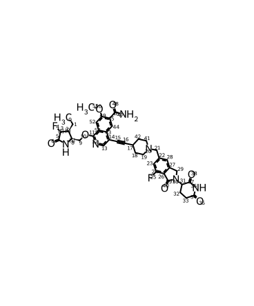 CC[C@@H]1[C@H](F)C(=O)N[C@@H]1COc1ncc(C#CC2CCN(Cc3cc(F)c4c(c3)CN(C3CCC(=O)NC3=O)C4=O)CC2)c2cc(C(N)=O)c(OC)cc12